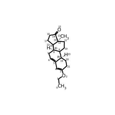 CCOC1=CC2=CC[C@@H]3C(CC[C@]4(C)C(=O)CCC34)[C@H]2CC1